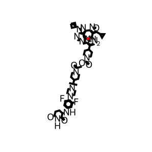 Cc1nc(-c2c(-c3nn(C45CC(C4)C5)c4ncnc(N)c34)noc2C2CC2)ncc1C1CCN(C(=O)OCC(=O)N2CCC(C(C)(C)N3CCN(c4c(F)cc(NC5CCC(=O)NC5=O)cc4F)CC3)CC2)CC1